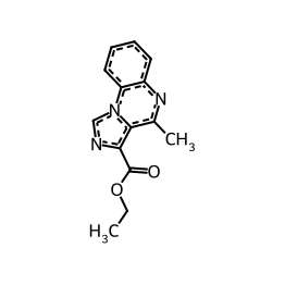 CCOC(=O)c1ncn2c1c(C)nc1ccccc12